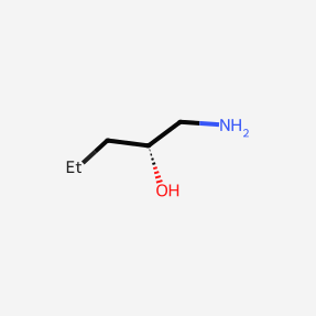 CCC[C@@H](O)CN